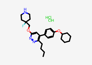 CCCCc1nnc(OCC2(F)CCNCC2)cc1-c1ccc(OC2CCCCC2)cc1.Cl.Cl